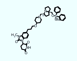 Cn1c(=O)n(C2CCC(=O)NC2=O)c2ccc(CCCOC3CCN(C[C@@H]4CC[C@@]5(CO[Si](c6ccccc6)(c6ccccc6)C(C)(C)C)CCCN45)CC3)cc21